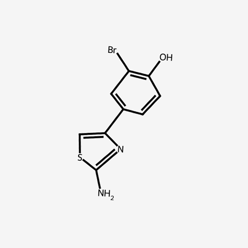 Nc1nc(-c2ccc(O)c(Br)c2)cs1